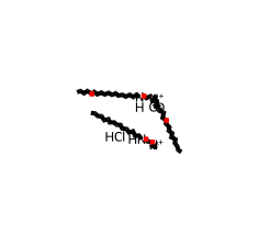 CCCCCCCCCCCCCCCCCCNCCC[N+](C)(C)CC(=O)OCCCCCCCCCCCCCC.CCCCCCCCCCCCCCCCNCCC[N+](C)(C)C.Cl